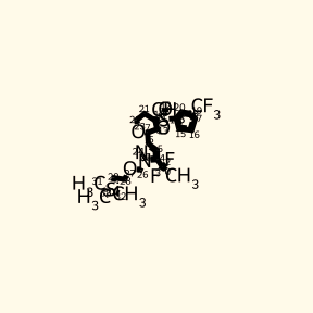 CC(F)(F)c1cc(C2CC(C)(S(=O)(=O)c3cccc(C(F)(F)F)c3)CCO2)nn1COCC[Si](C)(C)C